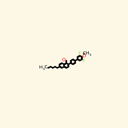 CCCCCCc1ccc2c(C=O)c(-c3ccc(-c4cc(F)c(OC)c(F)c4)cc3)ccc2c1